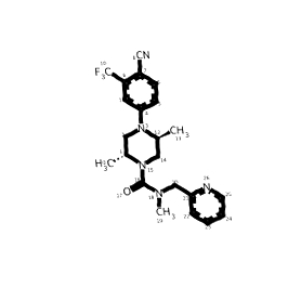 C[C@@H]1CN(c2ccc(C#N)c(C(F)(F)F)c2)[C@@H](C)CN1C(=O)N(C)Cc1ccccn1